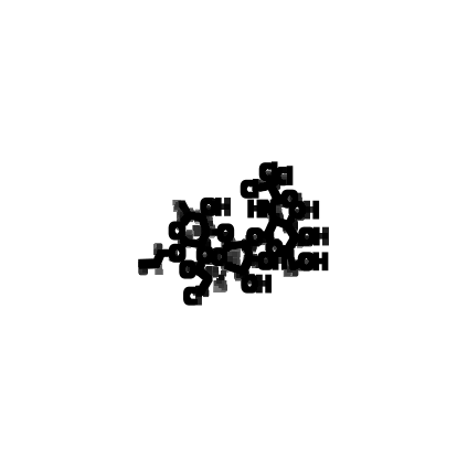 C=CCO[C@@H]1O[C@@H](C)[C@H](O)[C@@H](O[C@@H]2O[C@@H](C)[C@H](O)[C@@H](O)[C@H]2O[C@@H]2O[C@H](CO)[C@@H](O)[C@H](O)[C@H]2NC(=O)C(Cl)(Cl)Cl)[C@H]1OC(=O)CCl